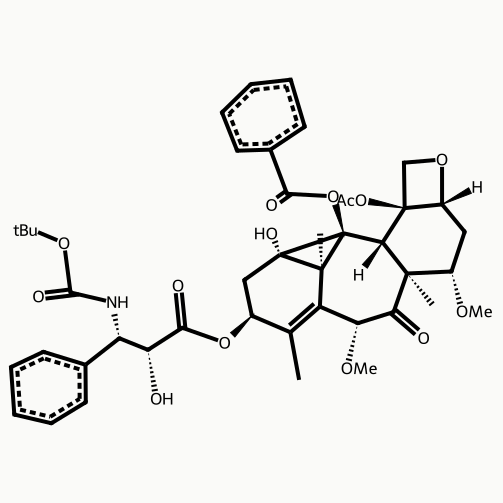 CO[C@H]1C(=O)[C@]2(C)[C@@H](OC)C[C@H]3OC[C@@]3(OC(C)=O)[C@H]2[C@@]2(OC(=O)c3ccccc3)[C@]3(O)C[C@H](OC(=O)[C@H](O)[C@@H](NC(=O)OC(C)(C)C)c4ccccc4)C(C)=C1[C@@]32C